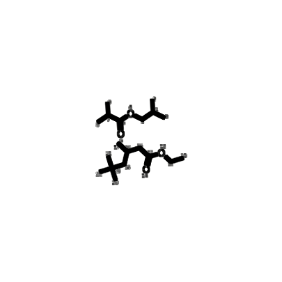 CC(C)COC(=O)C(C)C.CCOC(=O)CC(C)CC(C)(C)C